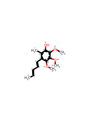 CC=CC=Cc1c(C)c(O)c(OC)c(OC)c1OC